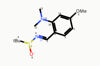 COc1ccc(/C=N/[S+]([O-])C(C)(C)C)c(N(C)C)c1